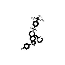 CC(C)(C)c1ccc(S(=O)(=O)N2CCC3=Cc4c(cnn4-c4ccc(F)cc4)CC3(C=C3SCCCS3)C2)cc1